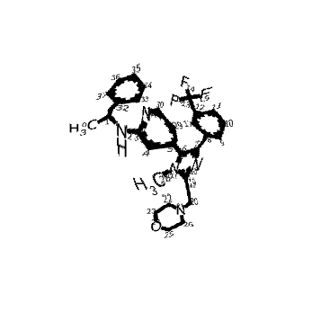 CC(Nc1cc(-c2c(-c3cccc(C(F)(F)F)c3)nc(CN3CCOCC3)n2C)ccn1)c1ccccc1